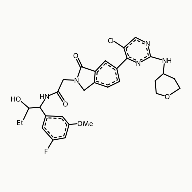 CCC(O)C(NC(=O)CN1Cc2ccc(-c3nc(NC4CCOCC4)ncc3Cl)cc2C1=O)c1cc(F)cc(OC)c1